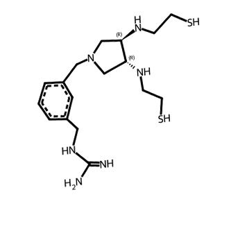 N=C(N)NCc1cccc(CN2C[C@@H](NCCS)[C@H](NCCS)C2)c1